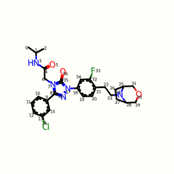 CC(C)NC(=O)Cn1c(-c2cccc(Cl)c2)nn(-c2ccc(CCN3C4CCC3COC4)c(F)c2)c1=O